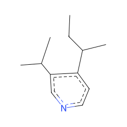 CCC(C)c1ccncc1C(C)C